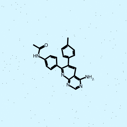 CC(=O)Nc1ccc(-c2nc3ncnc(N)c3cc2-c2ccc(C)cc2)cc1